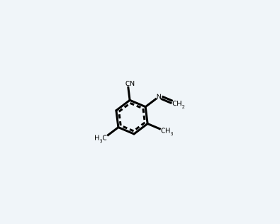 C=Nc1c(C)cc(C)cc1C#N